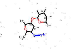 CCC1O[C@@H](O[C@@H]2C(CC)OC([N+](=O)[O-])C(N=[N+]=[N-])[C@H]2C)C(C)[C@@H](C)[C@@H]1C